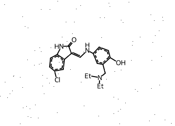 CCN(CC)Cc1cc(NC=C2C(=O)Nc3ccc(Cl)cc32)ccc1O